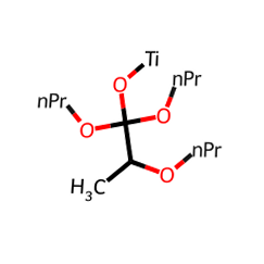 CCCOC(C)C([O][Ti])(OCCC)OCCC